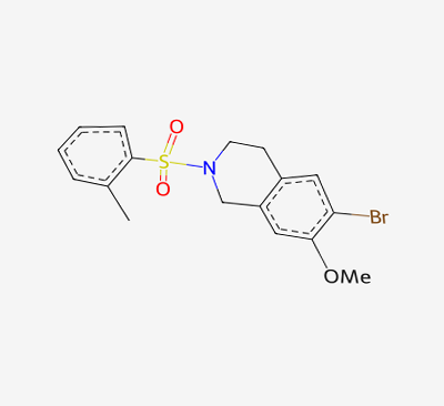 COc1cc2c(cc1Br)CCN(S(=O)(=O)c1ccccc1C)C2